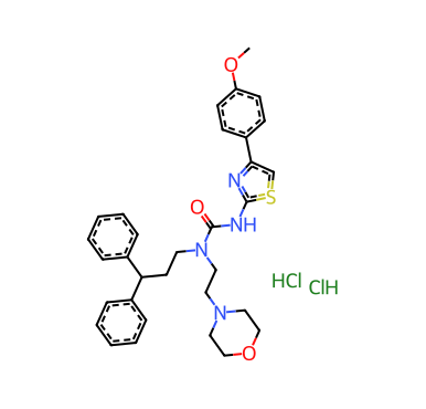 COc1ccc(-c2csc(NC(=O)N(CCC(c3ccccc3)c3ccccc3)CCN3CCOCC3)n2)cc1.Cl.Cl